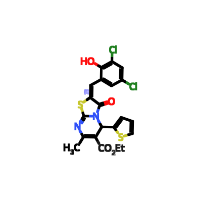 CCOC(=O)C1=C(C)N=c2s/c(=C/c3cc(Cl)cc(Cl)c3O)c(=O)n2C1c1cccs1